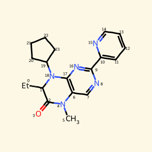 CCC1C(=O)N(C)c2cnc(-c3ccccn3)nc2N1C1CCCC1